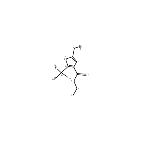 CCOC(=O)c1cc(CBr)oc1C(F)(F)F